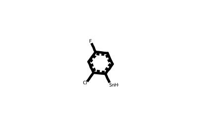 Fc1cc[c]([SnH])c(Cl)c1